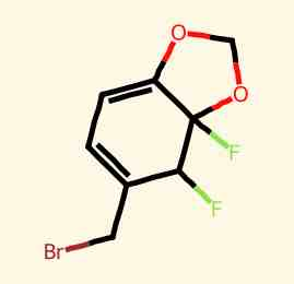 FC1C(CBr)=CC=C2OCOC21F